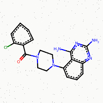 Nc1nc(N)c2c(N3CCN(C(=O)c4ccccc4Cl)CC3)cccc2n1